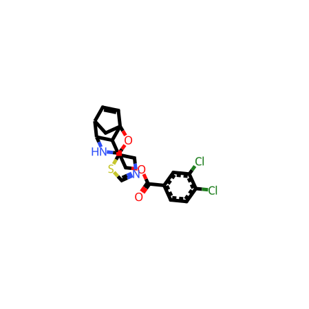 O=C(OCC1NC2C3C=CC(C3)(O1)C2C1CN=CS1)c1ccc(Cl)c(Cl)c1